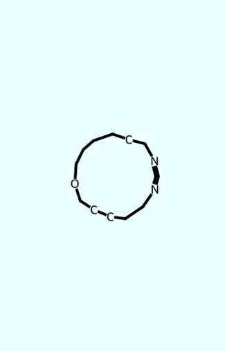 C1=NCCCCCCOCCCCCN=1